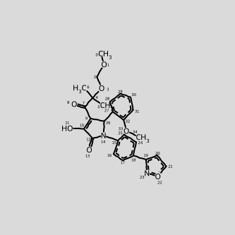 COCOC(C)(C)C(=O)C1=C(O)C(=O)N(c2ccc(-c3ccon3)cc2)C1c1ccccc1OC